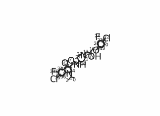 CC(C)n1cc(C(=O)NC2CCN(C[C@H](O)COc3ccc(Cl)c(F)c3)CC2)c(=O)c2cc(F)c(Cl)cc21